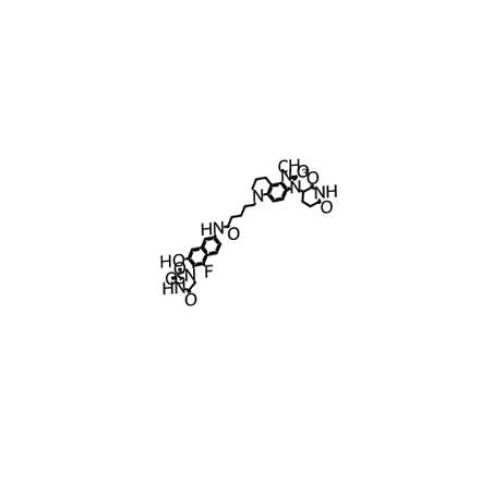 Cn1c(=O)n(C2CCC(=O)NC2=O)c2ccc3c(c21)CCCN3CCCCC(=O)Nc1ccc2c(F)c(N3CC(=O)NS3(=O)=O)c(O)cc2c1